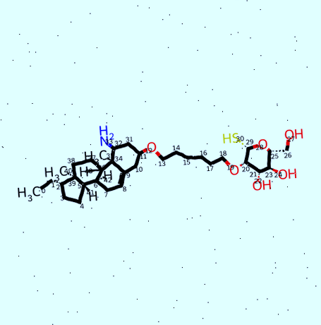 CC[C@H]1CC[C@H]2[C@@H]3CC=C4CC(OCCCCCCO[C@H]5[C@@H](O)[C@H](O)[C@@H](CO)O[C@H]5S)CC(N)[C@]4(C)[C@H]3CC[C@]12C